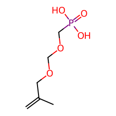 C=C(C)COCOCP(=O)(O)O